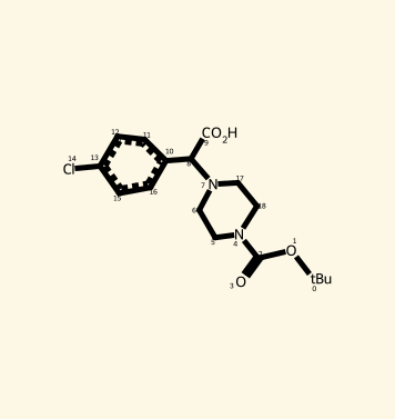 CC(C)(C)OC(=O)N1CCN(C(C(=O)O)c2ccc(Cl)cc2)CC1